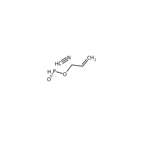 C#N.C=CCO[PH2]=O